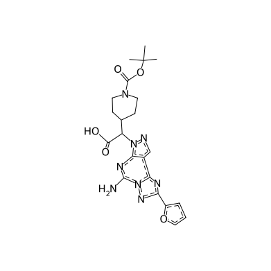 CC(C)(C)OC(=O)N1CCC(C(C(=O)O)n2ncc3c2nc(N)n2nc(-c4ccco4)nc32)CC1